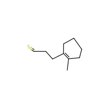 CC1=C(CCC=S)CCCC1